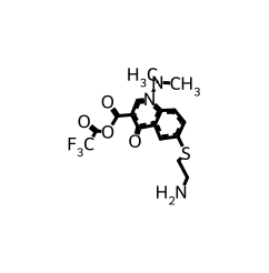 CN(C)n1cc(C(=O)OC(=O)C(F)(F)F)c(=O)c2cc(SCCN)ccc21